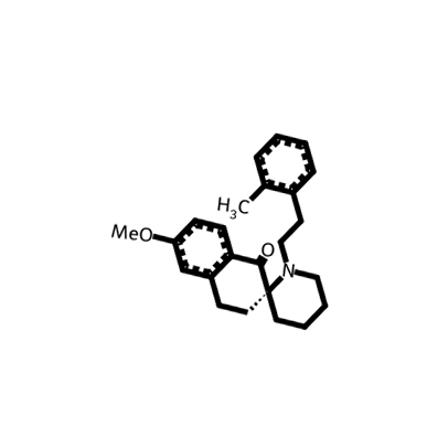 COc1ccc2c(c1)CC[C@]1(CCCCN1CCc1ccccc1C)C2=O